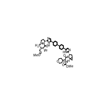 COO/C=N\[C@H](C(=O)N1[C@H](c2ncc(-c3ccc(-c4ccc(-c5cnc([C@@H]6CC7C[C@H]7N6C(=O)[C@@H](NC(=O)OC)C6CCOCC6)[nH]5)cc4)cc3)[nH]2)CCN1C)C(C)C